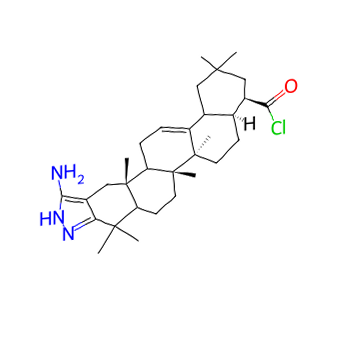 CC1(C)CC2C3=CCC4[C@@]5(C)Cc6c(n[nH]c6N)C(C)(C)C5CC[C@@]4(C)[C@]3(C)CC[C@@H]2[C@H](C(=O)Cl)C1